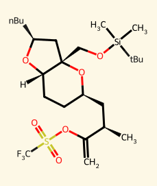 C=C(OS(=O)(=O)C(F)(F)F)[C@H](C)C[C@H]1CC[C@@H]2O[C@@H](CCCC)C[C@]2(CO[Si](C)(C)C(C)(C)C)O1